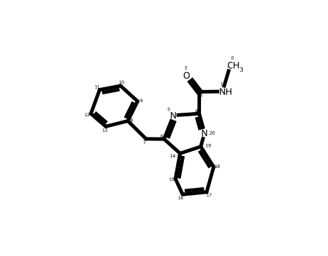 CNC(=O)c1nc(Cc2ccccc2)c2ccccc2n1